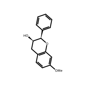 COc1ccc2c(c1)O[C@H](c1ccccc1)[C@H](O)C2